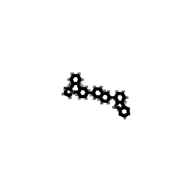 c1ccc2c(c1)sc1c(-c3ccc4cc(-c5ccc6c(c5)c5ccccc5c5nccn65)ccc4c3)cccc12